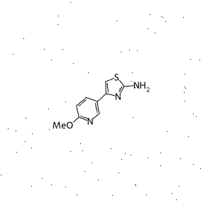 COc1ccc(-c2csc(N)n2)cn1